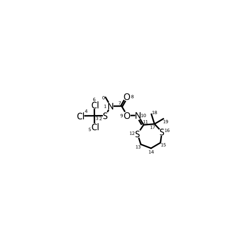 CN(SC(Cl)(Cl)Cl)C(=O)ON=C1SCCCSC1(C)C